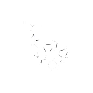 CN(C)C/C=C/C(=O)NC[C@H]1C[C@H]1C(=O)N[C@H]1CCC[C@@H](Nc2ncc(Cl)c(-c3c[nH]c4ccccc34)n2)C1